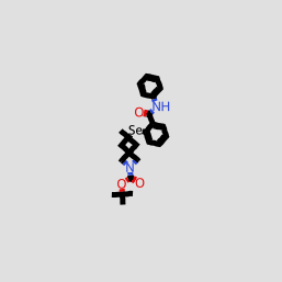 CC(C)(C)OC(=O)N1CC2(C1)CC(C)([Se]c1ccccc1C(=O)Nc1ccccc1)C2